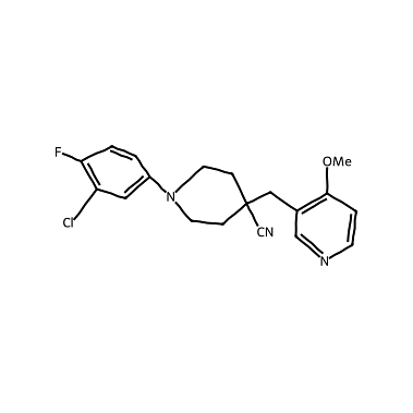 COc1ccncc1CC1(C#N)CCN(c2ccc(F)c(Cl)c2)CC1